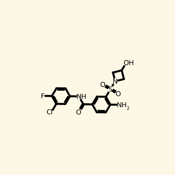 Nc1ccc(C(=O)Nc2ccc(F)c(Cl)c2)cc1S(=O)(=O)N1CC(O)C1